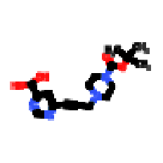 CC(C)(C)OC(=O)N1CCN(CC#Cc2cc(C(O)O)ncn2)CC1